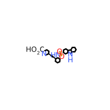 O=C(O)c1ccc(C#Cc2ccccc2NS(=O)(=O)c2ccc3c(c2)[nH]c2ccccc23)cn1